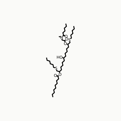 CCCCCCCCCC(=O)OC(CCCCCC(O)CCCCCC(CSCCCCCC)OC(=O)CN(C)C(=O)CCCCC)CSCCCCCC